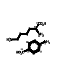 NCCCC[C@H](N)C(=O)O.Nc1ccc(C(=O)O)cc1